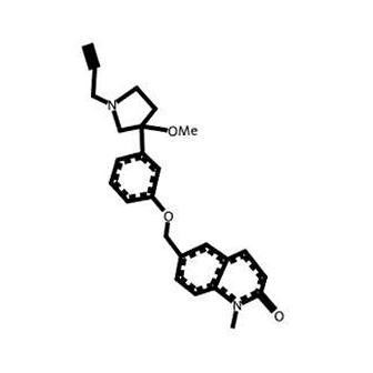 C#CCN1CCC(OC)(c2cccc(OCc3ccc4c(ccc(=O)n4C)c3)c2)C1